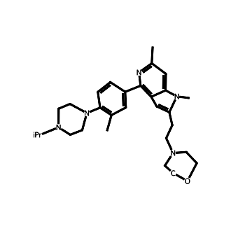 Cc1cc2c(cc(CCN3CCOCC3)n2C)c(-c2ccc(N3CCN(C(C)C)CC3)c(C)c2)n1